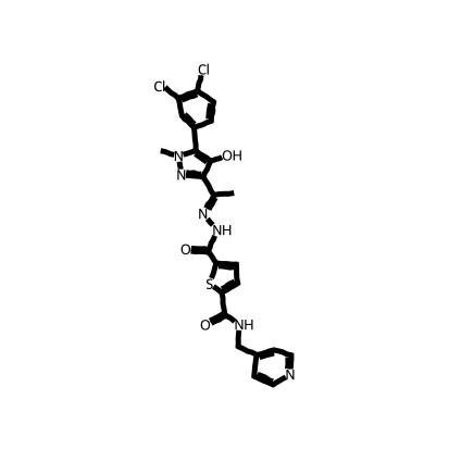 C/C(=N\NC(=O)c1ccc(C(=O)NCc2ccncc2)s1)c1nn(C)c(-c2ccc(Cl)c(Cl)c2)c1O